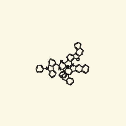 c1ccc(-n2c3ccccc3c3c(C4=NC(c5ccc6ccccc6c5)NC(c5ccc6c(oc7ccc8ccccc8c76)c5-n5c6cc7ccccc7cc6c6cc7ccccc7cc65)=N4)cccc32)cc1